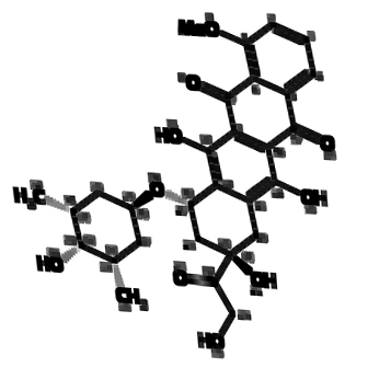 COc1cccc2c1C(=O)c1c(O)c3c(c(O)c1C2=O)C[C@](O)(C(=O)CO)C[C@@H]3O[C@@H]1C[C@@H](C)[C@@H](O)[C@@H](C)C1